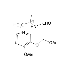 COc1ccncc1OCOC(C)=O.C[C@H](NC=O)C(=O)O